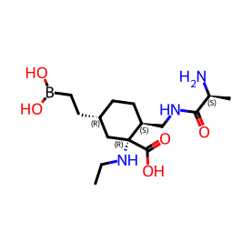 CCN[C@]1(C(=O)O)C[C@H](CCB(O)O)CC[C@H]1CNC(=O)[C@H](C)N